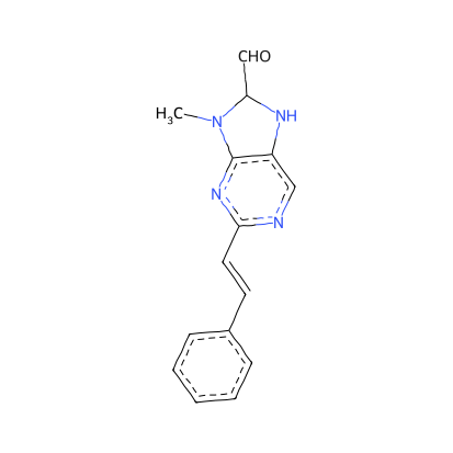 CN1c2nc(/C=C/c3ccccc3)ncc2NC1C=O